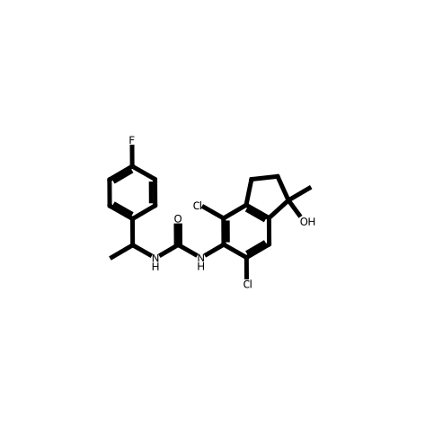 CC(NC(=O)Nc1c(Cl)cc2c(c1Cl)CCC2(C)O)c1ccc(F)cc1